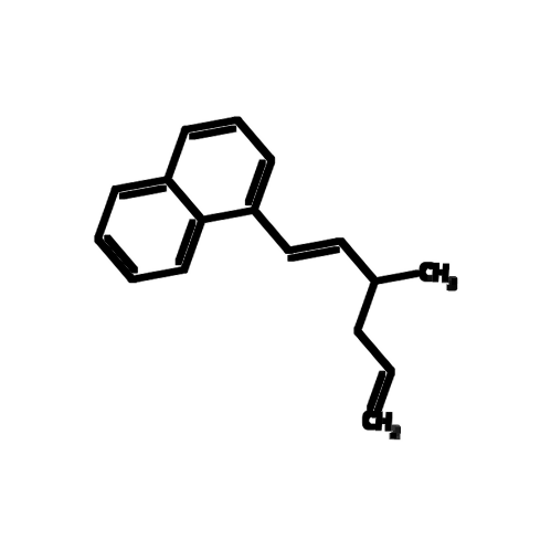 C=CCC(C)C=Cc1cccc2ccccc12